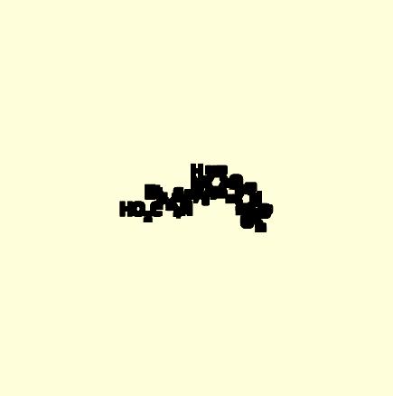 CCC(C(=O)O)C1CN=C(c2cc3cc(Oc4ccc(S(C)(=O)=O)nc4)ccc3[nH]2)S1